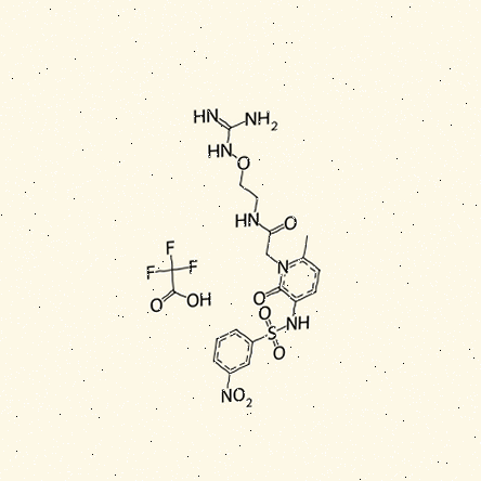 Cc1ccc(NS(=O)(=O)c2cccc([N+](=O)[O-])c2)c(=O)n1CC(=O)NCCONC(=N)N.O=C(O)C(F)(F)F